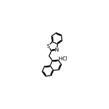 Cl.c1ccc2c(Cc3nc4ccccc4s3)cccc2c1